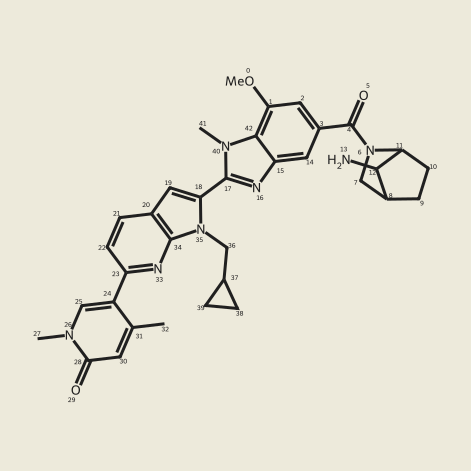 COc1cc(C(=O)N2CC3CCC2C3N)cc2nc(-c3cc4ccc(-c5cn(C)c(=O)cc5C)nc4n3CC3CC3)n(C)c12